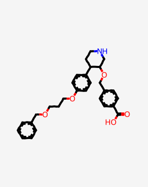 O=C(O)c1ccc(COC2CNCCC2c2ccc(OCCCOCc3ccccc3)cc2)cc1